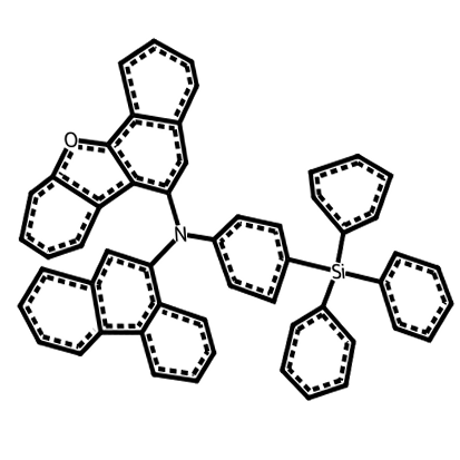 c1ccc([Si](c2ccccc2)(c2ccccc2)c2ccc(N(c3cc4ccccc4c4ccccc34)c3cc4ccccc4c4oc5ccccc5c34)cc2)cc1